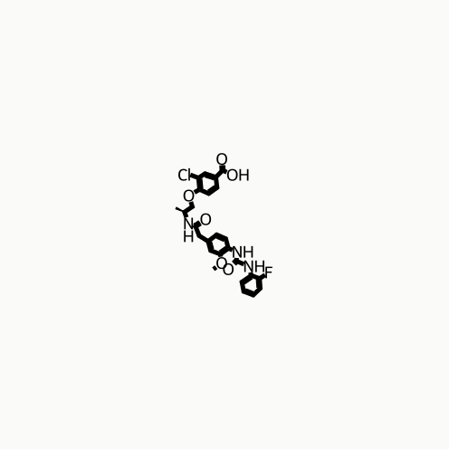 COc1cc(CC(=O)N[C@@H](C)COc2ccc(C(=O)O)cc2Cl)ccc1NC(=O)Nc1ccccc1F